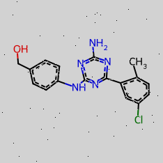 Cc1ccc(Cl)cc1-c1nc(N)nc(Nc2ccc(CO)cc2)n1